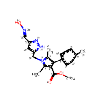 Cc1c(C(=O)OC(C)(C)C)c(-c2ccc(C#N)cc2)c(C)n1Cc1cc(C=NO)n[nH]1